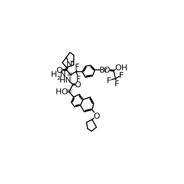 NC1CC2CCC(C1)N2C(=O)[C@@H](NC(=O)[C@@H](O)c1ccc2cc(OC3CCCC3)ccc2c1)C(F)(F)c1ccc(Br)cc1.O=C(O)C(F)(F)F